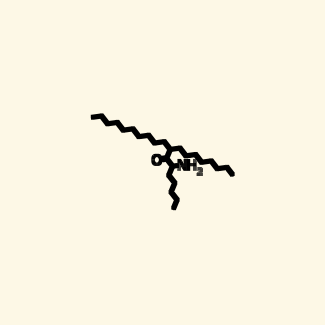 CCCCCCCCCCC(CCCCCCCC)C(=O)C(N)CCCCC